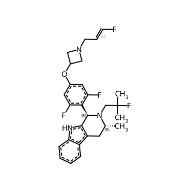 C[C@@H]1Cc2c([nH]c3ccccc23)[C@@H](c2c(F)cc(OC3CN(C/C=C/F)C3)cc2F)N1CC(C)(C)F